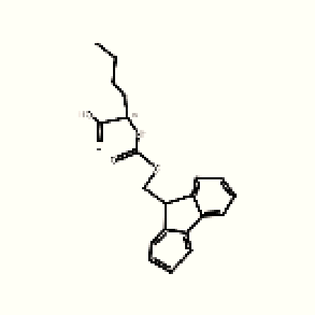 CCCC[C@@H](NC(=O)OCC1c2ccccc2-c2ccccc21)C(=O)O